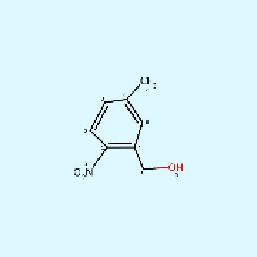 O=[N+]([O-])c1ccc(C(F)(F)F)cc1CO